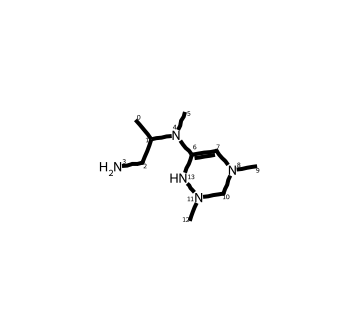 CC(CN)N(C)C1=CN(C)CN(C)N1